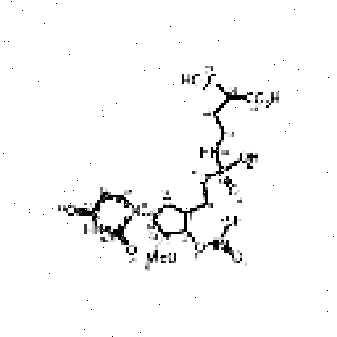 CO[C@H]1C(O[PH](=O)S)C(COP(=O)(O)NCCC(C(=O)O)C(=O)O)O[C@H]1n1ccc(=O)[nH]c1=O